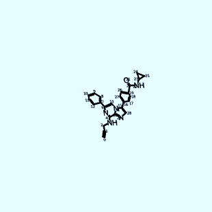 C#CCNc1nc(-c2ccccc2)cn2c(-c3ccc(C(=O)NC4CC4)cc3)cnc12